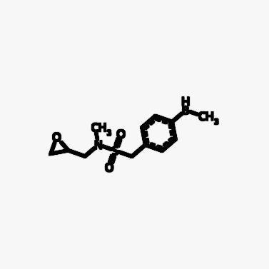 CBc1ccc(CS(=O)(=O)N(C)CC2CO2)cc1